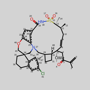 C=C(C)C(=O)C[C@]1(OC)/C=C/C[C@H](C)[C@@H](C)S(=O)(=O)NC(=O)c2ccc3c(c2)N(C[C@@H]2CC[C@H]21)C[C@@]1(CCCc2cc(Cl)ccc21)CO3